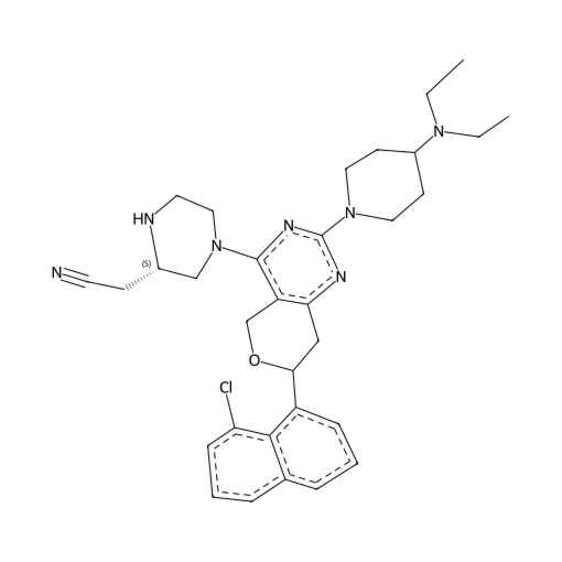 CCN(CC)C1CCN(c2nc3c(c(N4CCN[C@@H](CC#N)C4)n2)COC(c2cccc4cccc(Cl)c24)C3)CC1